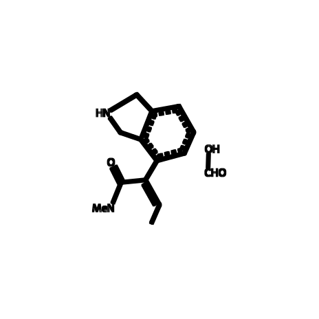 CC=C(C(=O)NC)c1cccc2c1CNC2.O=CO